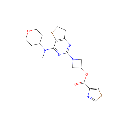 CN(c1nc(N2CC(OC(=O)c3cscn3)C2)nc2c1SCC2)C1CCOCC1